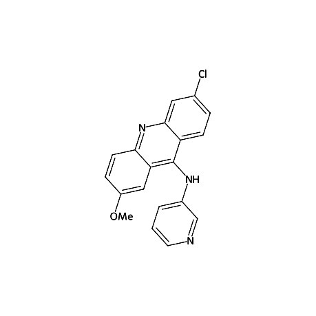 COc1ccc2nc3cc(Cl)ccc3c(Nc3cccnc3)c2c1